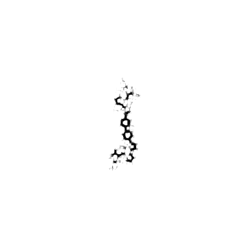 COC(=O)NC(C(=O)N1CCCC1c1ncc(-c2ccc3c(c2)oc2cc(-c4ccc([C@@H]5CCCN5C(=O)[C@@H](NC(=O)OC)C(C)C)[nH]4)ccc23)[nH]1)[C@@H](C)OC